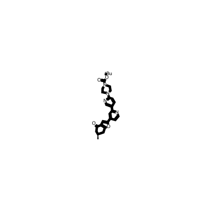 C[C@H]1CC(=O)c2cc(-c3ccnc(-c4ccc(N5CCN(C(=O)OC(C)(C)C)CC5)nc4)c3)oc2C1